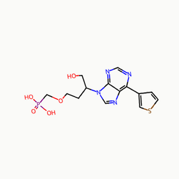 O=P(O)(O)COCCC(CO)n1cnc2c(-c3ccsc3)ncnc21